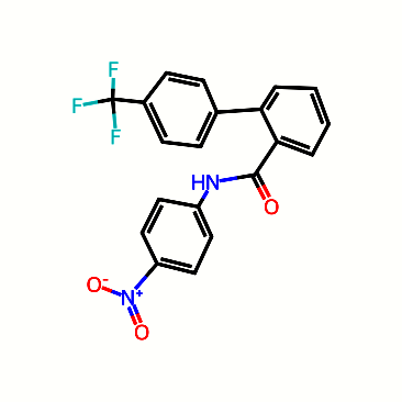 O=C(Nc1ccc([N+](=O)[O-])cc1)c1ccccc1-c1ccc(C(F)(F)F)cc1